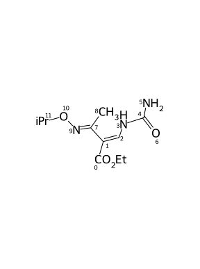 CCOC(=O)C(=CNC(N)=O)C(C)=NOC(C)C